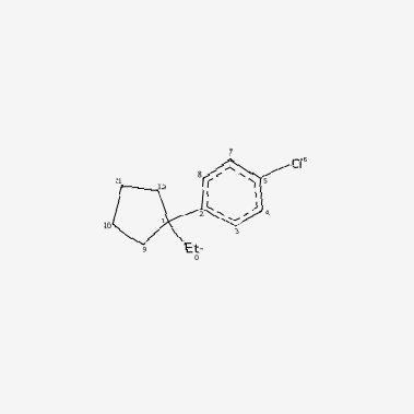 C[CH]C1(c2ccc(Cl)cc2)CCCC1